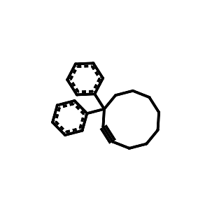 C1#CC(c2ccccc2)(c2ccccc2)CCCCCCC1